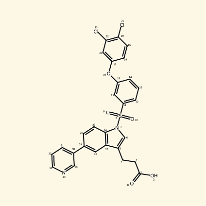 O=C(O)CCc1cn(S(=O)(=O)c2cccc(Oc3ccc(Cl)c(Cl)c3)c2)c2ccc(-c3cccnc3)cc12